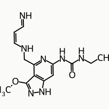 CCNC(=O)Nc1cc2[nH]nc(OC)c2c(CN/C=C\C=N)n1